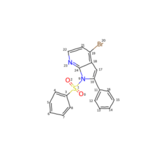 O=S(=O)(c1ccccc1)n1c(-c2ccccc2)cc2c(Br)ccnc21